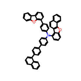 c1ccc2c(-c3ccc(-c4ccc(N(c5ccc(-c6cccc7c6oc6ccccc67)cc5)c5cccc6oc7c8ccccc8ccc7c56)cc4)cc3)cccc2c1